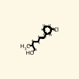 CC(CO)CCC=Cc1cccc(Cl)c1